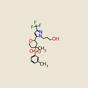 Cc1cccc(S(=O)(=O)C2(C)CCOC(c3cc(C(F)(F)F)nn3CCCO)C2)c1